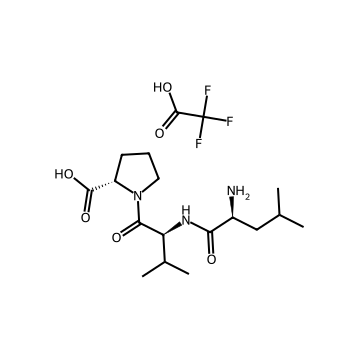 CC(C)C[C@H](N)C(=O)N[C@H](C(=O)N1CCC[C@H]1C(=O)O)C(C)C.O=C(O)C(F)(F)F